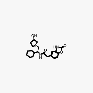 O=C(Cc1ccc2oc(=O)[nH]c2c1)N[C@H](CN1CC[C@H](O)C1)C1CCCCC1